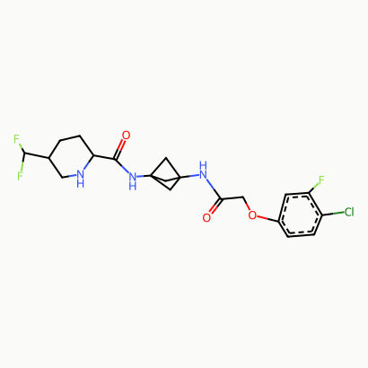 O=C(COc1ccc(Cl)c(F)c1)NC12CC(NC(=O)C3CCC(C(F)F)CN3)(C1)C2